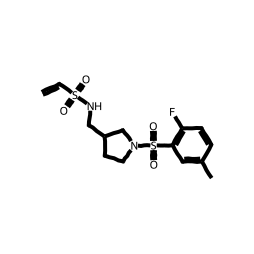 C=CS(=O)(=O)NCC1CCN(S(=O)(=O)c2cc(C)ccc2F)C1